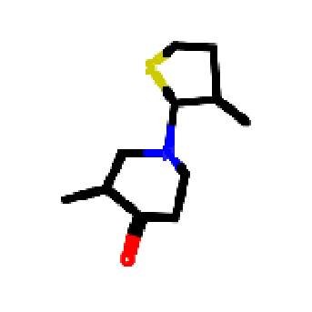 CC1CN(C2SCCC2C)CCC1=O